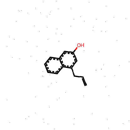 C=CCc1cc(O)[c]c2ccccc12